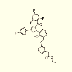 CCOC(=O)Cc1cccc(CCc2cccc(C3CC(c4ccc(F)cc4)=CC3C(=O)c3c(F)cc(F)cc3F)c2OC)c1